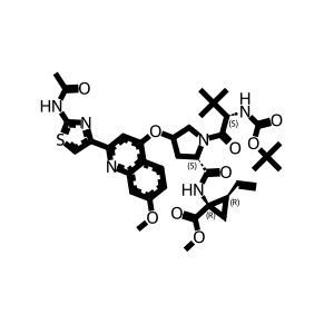 C=C[C@H]1C[C@]1(NC(=O)[C@@H]1CC(Oc2cc(-c3csc(NC(C)=O)n3)nc3cc(OC)ccc23)CN1C(=O)[C@@H](NC(=O)OC(C)(C)C)C(C)(C)C)C(=O)OC